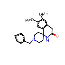 COc1cc2c(cc1OC)C1(CCN(Cc3ccccc3)CC1)NC(=O)C2